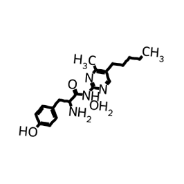 CCCCCc1cnc(NC(=O)C(N)Cc2ccc(O)cc2)nc1C.O